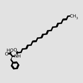 CCC=CCC=CCCC=CC=CCC=CCC=CCCC(=O)N[C@@H](Cc1ccccc1)C(=O)O